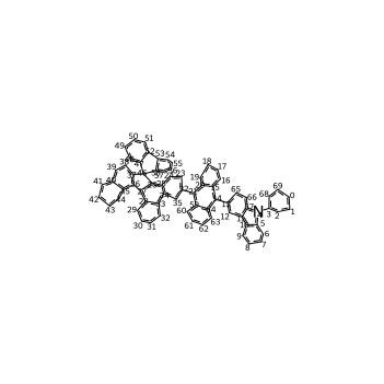 c1ccc(-n2c3ccccc3c3cc(-c4c5ccccc5c(-c5ccc6c7c(c8ccccc8c6c5)-c5c(ccc6ccccc56)C75c6ccccc6-c6ccccc65)c5ccccc45)ccc32)cc1